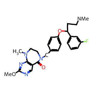 CNCCC(Oc1ccc(CN2CCN(C)c3nc(OC)ncc3C2=O)cc1)c1cccc(F)c1